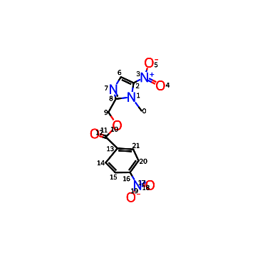 Cn1c([N+](=O)[O-])cnc1COC(=O)c1ccc([N+](=O)[O-])cc1